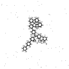 CC1(C)c2ccccc2-c2ccc(N(c3ccc(-c4ccc(-c5ccccc5)cc4)cc3)c3ccc(-c4cccc5c4-c4oc6ccccc6c4C5(c4ccccc4)c4ccccc4)cc3)cc21